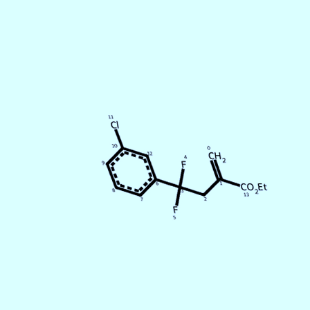 C=C(CC(F)(F)c1cccc(Cl)c1)C(=O)OCC